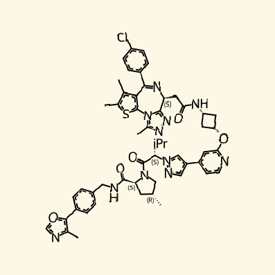 Cc1ncoc1-c1ccc(CNC(=O)[C@@H]2C[C@@H](C)CN2C(=O)[C@H](C(C)C)n2cc(-c3ccnc(O[C@H]4C[C@@H](NC(=O)C[C@@H]5N=C(c6ccc(Cl)cc6)c6c(sc(C)c6C)-n6c(C)nnc65)C4)c3)cn2)cc1